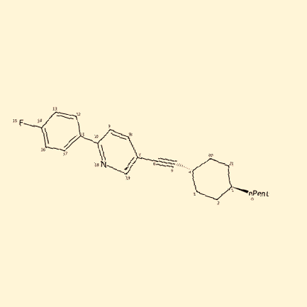 CCCCC[C@H]1CC[C@H](C#Cc2ccc(-c3ccc(F)cc3)nc2)CC1